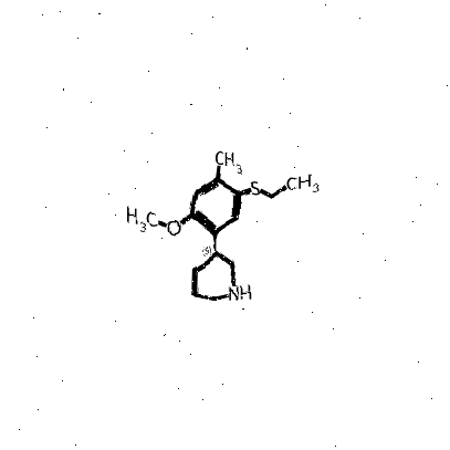 CCSc1cc([C@@H]2CCCNC2)c(OC)cc1C